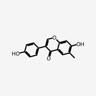 Cc1cc2c(=O)c(-c3ccc(O)cc3)coc2cc1O